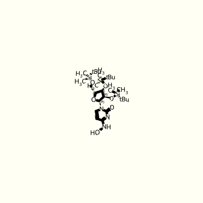 CC(C)(C)[Si](C)(C)OC[C@H]1O[C@@H](n2ccc(NO)nc2=O)[C@H](O[Si](C)(C)C(C)(C)C)[C@@H]1O[Si](C)(C)C(C)(C)C